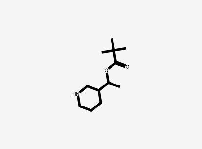 CC(OC(=O)C(C)(C)C)C1CCCNC1